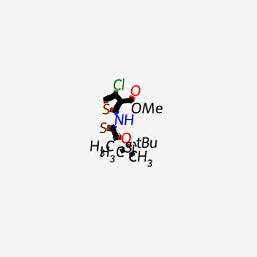 COC(=O)c1c(Cl)csc1NC(=S)[C@H](C)O[Si](C)(C)C(C)(C)C